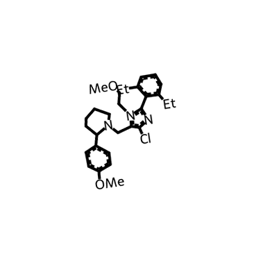 CCc1cccc(CC)c1-c1nc(Cl)c(CN2CCCCC2c2ccc(OC)cc2)n1CCOC